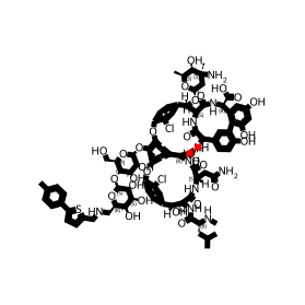 CN[C@H](CC(C)C)C(=O)N[C@H]1C(=O)N[C@@H](CC(N)=O)C(=O)N[C@H]2C(=O)N[C@H]3C(=O)N[C@H](C(=O)N[C@@H](C(=O)O)c4cc(O)cc(O)c4-c4cc3ccc4O)[C@H](O[C@H]3C[C@](C)(N)[C@@H](O)[C@H](C)O3)c3ccc(c(Cl)c3)Oc3cc2cc(c3O[C@@H]2O[C@H](CO)[C@@H](O[C@@H]3O[C@H](CNCc4ccc(-c5ccc(C)cc5)s4)[C@H](O)[C@H](O)[C@H]3O)[C@H](O)[C@H]2O)Oc2ccc(cc2Cl)[C@H]1O